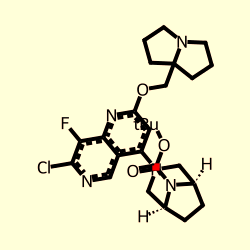 CC(C)(C)OC(=O)N1[C@@H]2CC[C@H]1CN(c1cc(OCC34CCCN3CCC4)nc3c(F)c(Cl)ncc13)C2